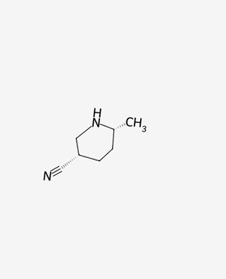 C[C@@H]1CC[C@H](C#N)CN1